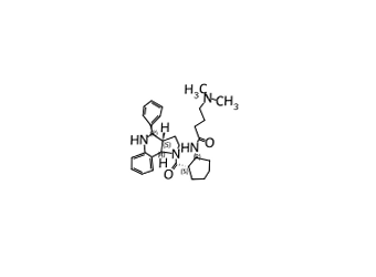 CN(C)CCCC(=O)N[C@@H]1CCCC[C@@H]1C(=O)N1CC[C@H]2[C@H](c3ccccc3)Nc3ccccc3[C@@H]21